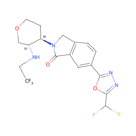 O=C1c2cc(-c3nnc(C(F)F)o3)ccc2CN1[C@@H]1CCOC[C@H]1NCC(F)(F)F